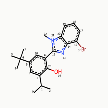 CC(C)c1cc(C(C)(C)C)cc(-c2nc3c(Br)cccc3n2C)c1O